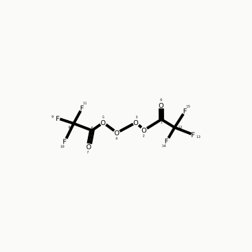 O=C(OOOOC(=O)C(F)(F)F)C(F)(F)F